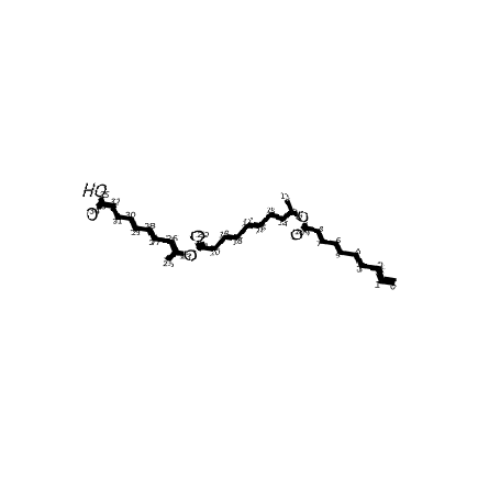 C=CCCCCCCCC(=O)OC(C)CCCCCCCC(=O)OC(C)CCCCCCCC(=O)O